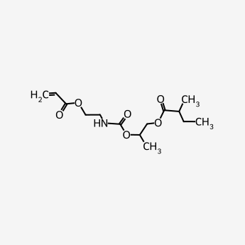 C=CC(=O)OCCNC(=O)OC(C)COC(=O)C(C)CC